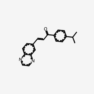 CC(C)c1ccc(C(=O)C=Cc2ccc3nccnc3c2)cc1